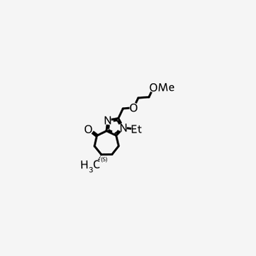 CCn1c(COCCOC)nc2c1CC[C@H](C)CC2=O